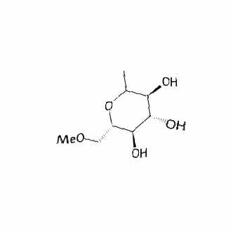 COC[C@@H]1OC(C)[C@@H](O)[C@H](O)[C@H]1O